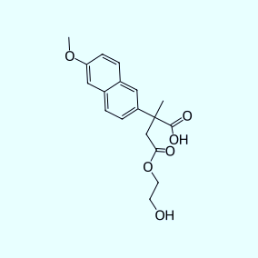 COc1ccc2cc(C(C)(CC(=O)OCCO)C(=O)O)ccc2c1